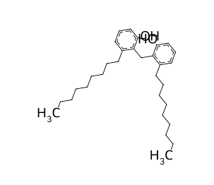 CCCCCCCCCc1cccc(O)c1Cc1c(O)cccc1CCCCCCCCC